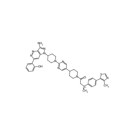 Cc1ncsc1-c1ccc([C@@H](C)CC(=O)N2CCC(c3cnc(N4CCC(n5nc(N)c6nnc(-c7ccccc7O)cc65)CC4)nc3)CC2)cc1